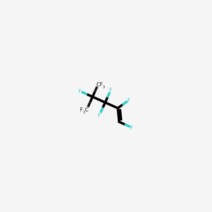 F/[C]=C(\F)C(F)(F)C(F)(C(F)(F)F)C(F)(F)F